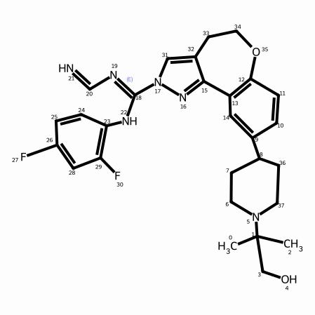 CC(C)(CO)N1CCC(c2ccc3c(c2)-c2nn(/C(=N/C=N)Nc4ccc(F)cc4F)cc2CCO3)CC1